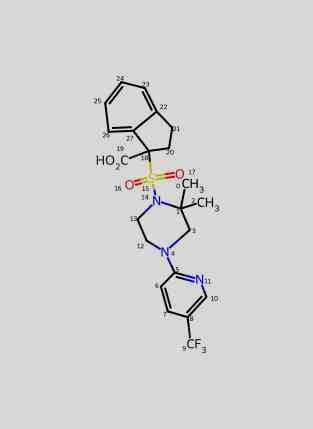 CC1(C)CN(c2ccc(C(F)(F)F)cn2)CCN1S(=O)(=O)C1(C(=O)O)CCc2ccccc21